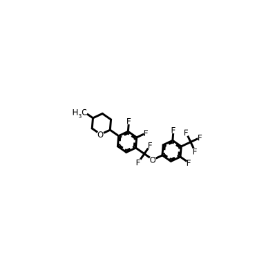 CC1CCC(c2ccc(C(F)(F)Oc3cc(F)c(C(F)(F)F)c(F)c3)c(F)c2F)OC1